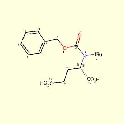 CC(C)(C)N(C(=O)OCc1ccccc1)[C@@H](CCC(=O)O)C(=O)O